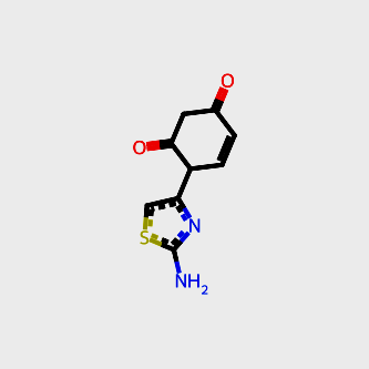 Nc1nc(C2C=CC(=O)CC2=O)cs1